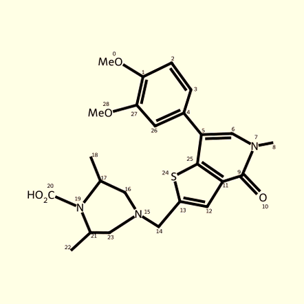 COc1ccc(-c2cn(C)c(=O)c3cc(CN4CC(C)N(C(=O)O)C(C)C4)sc23)cc1OC